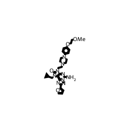 COCCOc1ccc(N2CCN(CCn3c(=O)n(CC4CC4)c4c3nc(N)n3nc(-c5ccco5)nc43)CC2)cc1